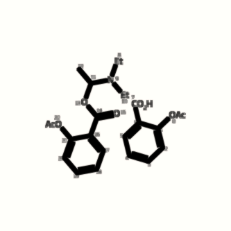 CC(=O)Oc1ccccc1C(=O)O.CCN(CC)C(C)OC(=O)c1ccccc1OC(C)=O